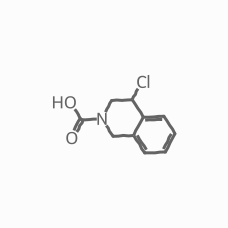 O=C(O)N1Cc2ccccc2C(Cl)C1